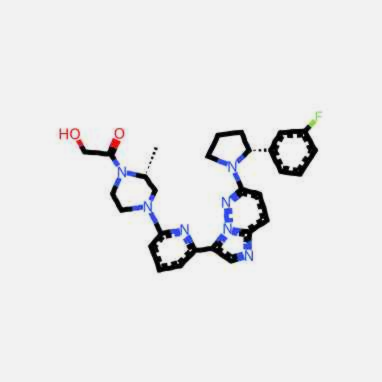 C[C@@H]1CN(c2cccc(-c3cnc4ccc(N5CCC[C@@H]5c5cccc(F)c5)nn34)n2)CCN1C(=O)CO